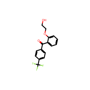 O=C(c1ccc(C(F)(F)F)cc1)c1ccccc1OCCO